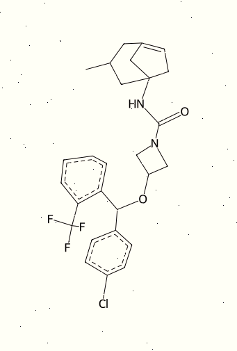 CC1CC2=CCC(NC(=O)N3CC(OC(c4ccc(Cl)cc4)c4ccccc4C(F)(F)F)C3)(C2)C1